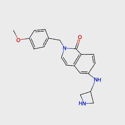 COc1ccc(Cn2ccc3cc(NC4CNC4)ccc3c2=O)cc1